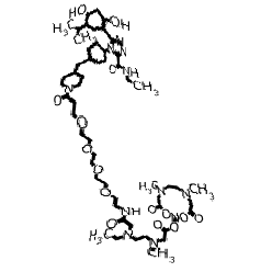 CCNC(=O)c1nnc(C2CC(C(C)C)C(O)CC2O)n1C1CCC(CC2CCN(C(=O)CCOCCOCCOCCOCCNC(=O)CN(CC)CCN(C)CC(=O)ON3OC(=O)CN(C)CCN(C)CC(=O)O3)CC2)CC1